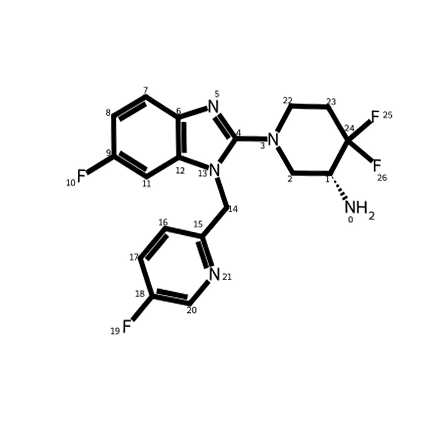 N[C@@H]1CN(c2nc3ccc(F)cc3n2Cc2ccc(F)cn2)CCC1(F)F